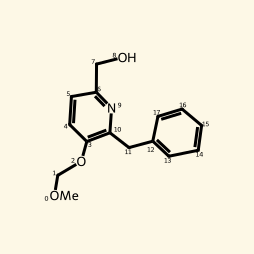 COCOc1ccc(CO)nc1Cc1ccccc1